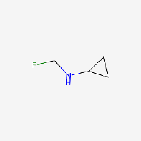 FCNC1CC1